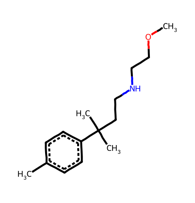 COCCNCCC(C)(C)c1ccc(C)cc1